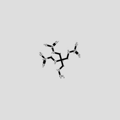 COCC(CO[N+](=O)[O-])(CO[N+](=O)[O-])OC[N+](=O)[O-]